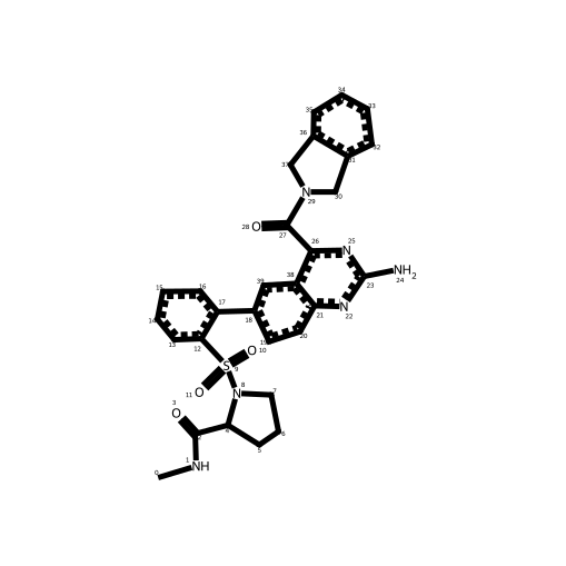 CNC(=O)C1CCCN1S(=O)(=O)c1ccccc1-c1ccc2nc(N)nc(C(=O)N3Cc4ccccc4C3)c2c1